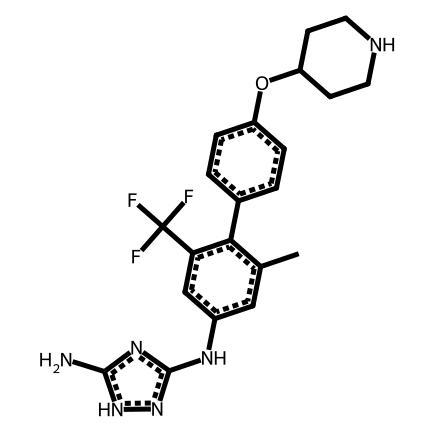 Cc1cc(Nc2n[nH]c(N)n2)cc(C(F)(F)F)c1-c1ccc(OC2CCNCC2)cc1